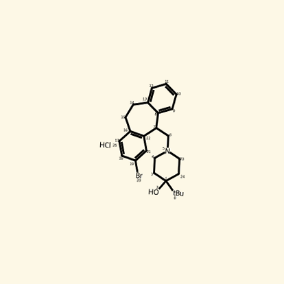 CC(C)(C)C1(O)CCN(CC2c3ccccc3CCc3ccc(Br)cc32)CC1.Cl